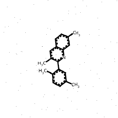 Cc1ccc(C)c(-c2nc3cc(C)ccc3cc2C)c1